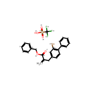 C=C(Cc1ccc(-c2ccccc2)c(S)c1)C(=O)OCc1ccccc1.O=S(=O)(O)C(F)(F)F